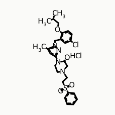 Cc1cc(N2CCN(CCS(=O)(=O)c3ccccc3)CC2=O)nn1Cc1cc(Cl)ccc1OCC(C)C.Cl